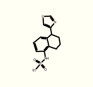 CCS(=O)(=O)Nc1cccc2c1CCCC2c1cocn1